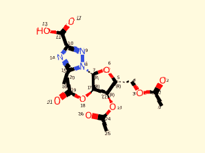 CC(=O)OC[C@H]1O[C@@H](n2nc(C(=O)O)nc2C)[C@H](OC(C)=O)[C@@H]1OC(C)=O